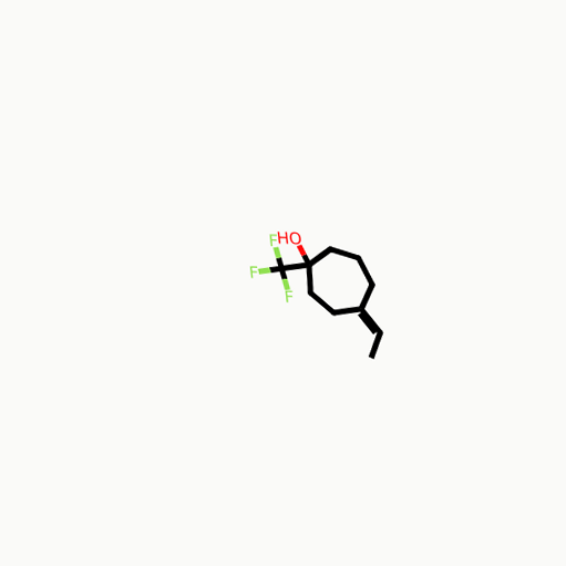 C/C=C1/CCCC(O)(C(F)(F)F)CC1